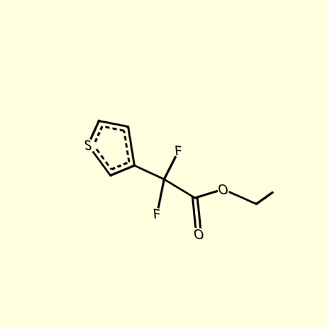 CCOC(=O)C(F)(F)c1ccsc1